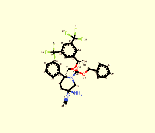 [C-]#[N+]C1(N)CC[C@@](CO[C@H](C)c2cc(C(F)(F)F)cc(C(F)(F)F)c2)(c2ccccc2)N(C(=O)OCc2ccccc2)C1